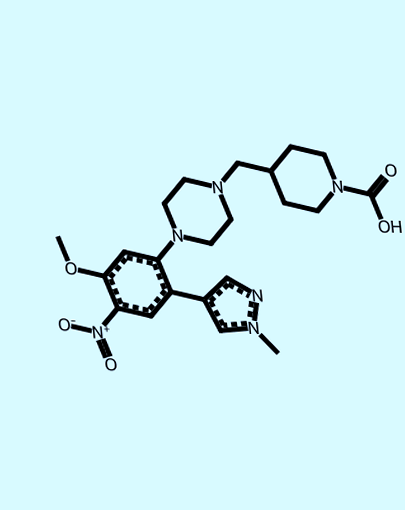 COc1cc(N2CCN(CC3CCN(C(=O)O)CC3)CC2)c(-c2cnn(C)c2)cc1[N+](=O)[O-]